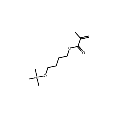 C=C(C)C(=O)OCCCCO[Si](C)(C)C